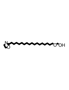 OCOCCCCCCCCCCCCCCCCCC1=NCCO1